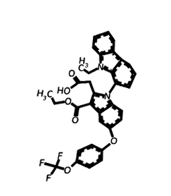 CCOC(=O)c1c(CC(=O)O)n(-c2cccc3c4ccccc4n(CC)c23)c2ccc(Oc3ccc(OC(F)(F)F)cc3)cc12